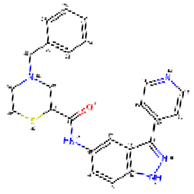 O=C(Nc1ccc2[nH]nc(-c3ccncc3)c2c1)C1CN(Cc2ccccc2)CCS1